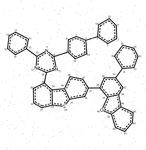 c1ccc(-c2ccc(-c3nc(-c4ccccc4)nc(-c4cccc5sc6cc(-c7cc(-c8ccccc8)cc8c7oc7ccccc78)ccc6c45)n3)cc2)cc1